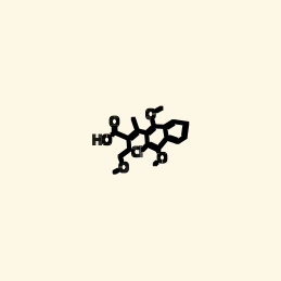 COCCC(C(=O)O)=C(C)c1c(Cl)c(OC)c2ccccc2c1OC